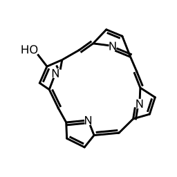 OC1=CC2=CC3=NC(=CC4=NC(=CC5=NC(=CC1=N2)C=C5)C=C4)C=C3